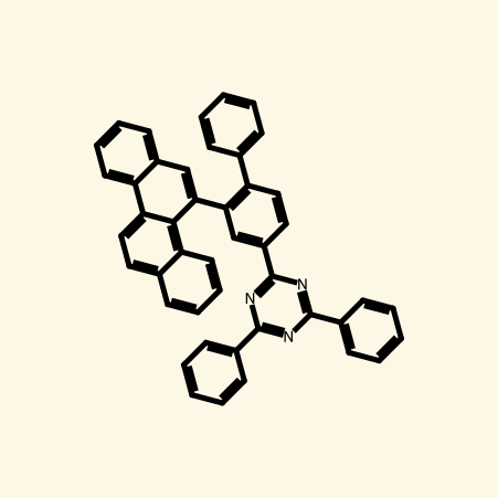 c1ccc(-c2nc(-c3ccccc3)nc(-c3ccc(-c4ccccc4)c(-c4cc5ccccc5c5ccc6ccccc6c45)c3)n2)cc1